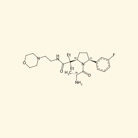 CCC(CC)(C(=O)NCCN1CCOCC1)[C@H]1CC[C@@H](c2cccc(F)c2)N1C(=O)[C@@H](C)N